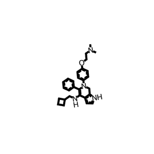 CN(C)CCOc1ccc(N2Cc3[nH]ccc3C(NCC3CCC3)=C2c2ccccc2)cc1